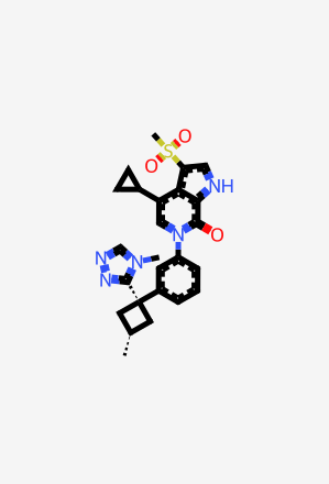 Cn1cnnc1[C@]1(c2cccc(-n3cc(C4CC4)c4c(S(C)(=O)=O)c[nH]c4c3=O)c2)C[C@H](C)C1